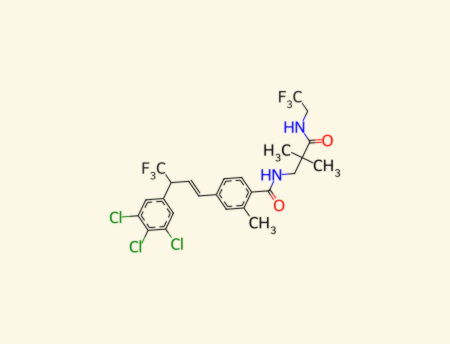 Cc1cc(/C=C/C(c2cc(Cl)c(Cl)c(Cl)c2)C(F)(F)F)ccc1C(=O)NCC(C)(C)C(=O)NCC(F)(F)F